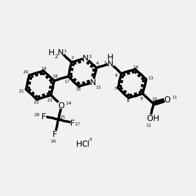 Cl.Nc1nc(Nc2ccc(C(=O)O)cc2)ncc1-c1ccccc1OC(F)(F)F